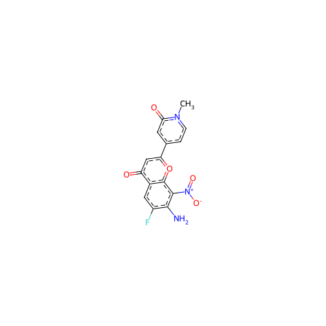 Cn1ccc(-c2cc(=O)c3cc(F)c(N)c([N+](=O)[O-])c3o2)cc1=O